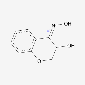 O/N=C1/c2ccccc2OCC1O